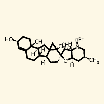 CCCN1C[C@@H](C)C[C@H]2O[C@]3(CC[C@H]4[C@@H]5CCC6=C[C@@H](O)CC[C@]6(C)[C@H]5CC45CC53C)[C@H](C)[C@@H]21